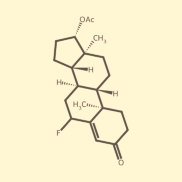 CC(=O)O[C@H]1CC[C@H]2[C@@H]3CC(F)C4=CC(=O)CC[C@]4(C)[C@H]3CC[C@]12C